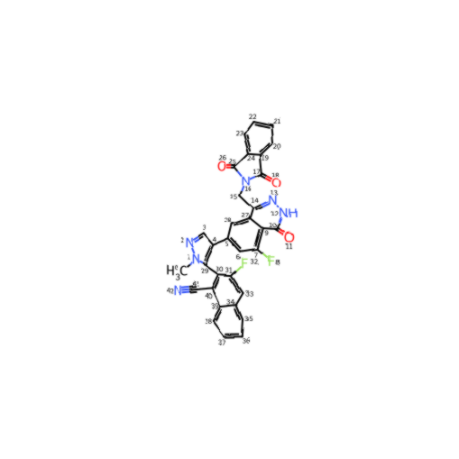 Cn1ncc(-c2cc(F)c3c(=O)[nH]nc(CN4C(=O)c5ccccc5C4=O)c3c2)c1-c1c(F)cc2ccccc2c1C#N